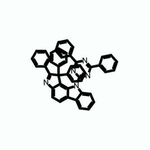 c1ccc(C2=Nc3ccc4c5ccccc5n(-c5nc(-c6ccccc6)nc(-c6ccccc6)n5)c4c3C2(c2ccccc2)c2ccccc2)cc1